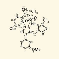 COc1cccc(-c2nnc(NS(=O)(=O)[C@@H](C)[C@H](C)c3ncc(Cl)cn3)n2Cc2cc(C(F)(F)F)no2)n1